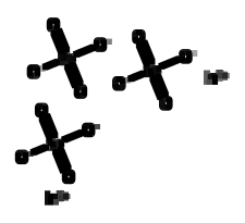 O=[Se](=O)([O-])[O-].O=[Se](=O)([O-])[O-].O=[Se](=O)([O-])[O-].[In+3].[In+3]